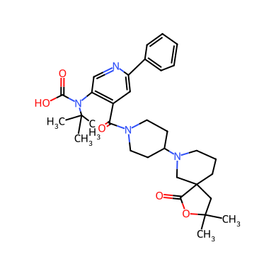 CC1(C)CC2(CCCN(C3CCN(C(=O)c4cc(-c5ccccc5)ncc4N(C(=O)O)C(C)(C)C)CC3)C2)C(=O)O1